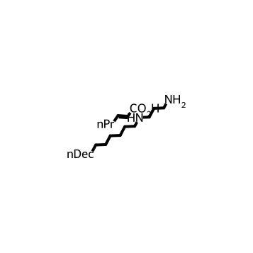 CCCC=CC(=O)O.CCCCCCCCCCCCCCCCNCCCN